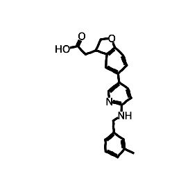 Cc1cccc(CNc2ccc(-c3ccc4c(c3)C(CC(=O)O)CO4)cn2)c1